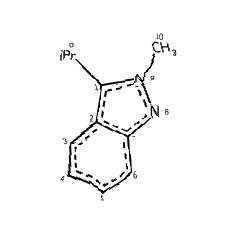 CC(C)c1c2ccccc2nn1C